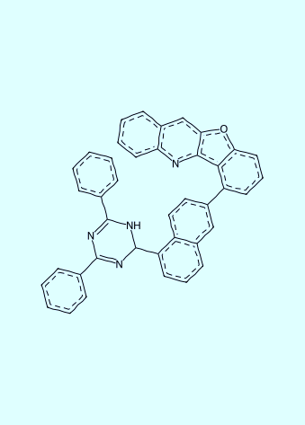 c1ccc(C2=NC(c3cccc4cc(-c5cccc6oc7cc8ccccc8nc7c56)ccc34)NC(c3ccccc3)=N2)cc1